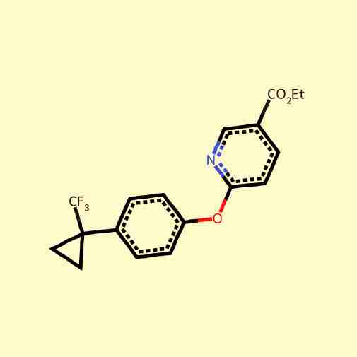 CCOC(=O)c1ccc(Oc2ccc(C3(C(F)(F)F)CC3)cc2)nc1